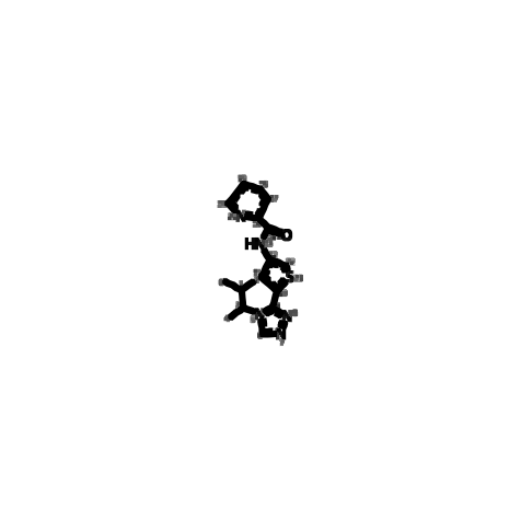 CC(C)C(C)n1cnnc1-c1cc(NC(=O)c2ccccn2)cs1